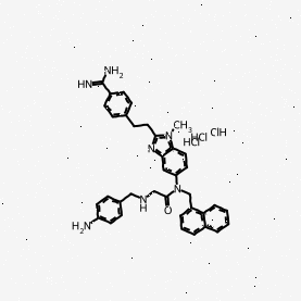 Cl.Cl.Cl.Cn1c(CCc2ccc(C(=N)N)cc2)nc2cc(N(Cc3cccc4ccccc34)C(=O)CNCc3ccc(N)cc3)ccc21